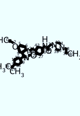 C#CCOc1ccc2c(c1)c(-c1ccc(C(C)C)cc1)nc(=O)n2Cc1cccc(NC(=O)CN2CCN(CC=C)CC2)c1